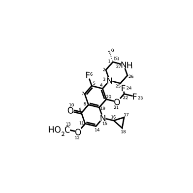 C[C@H]1CN(c2c(F)cc3c(=O)c(OC(=O)O)cn(C4CC4)c3c2OC(F)F)CCN1